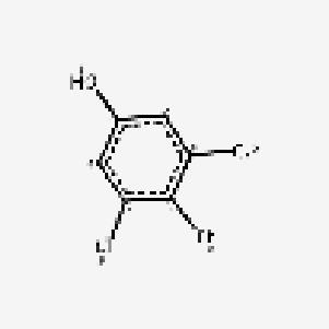 CCc1c(Cl)cc(O)cc1Cl